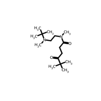 CN(CCN(C)C(C)(C)C)C(=O)CCC(=O)C(C)(C)C